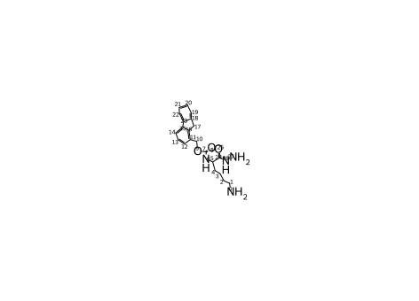 NCCCCC(NC(=O)OCc1cccc2c1Cc1ccccc1-2)C(=O)NN